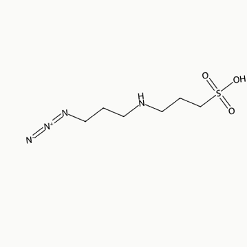 [N-]=[N+]=NCCCNCCCS(=O)(=O)O